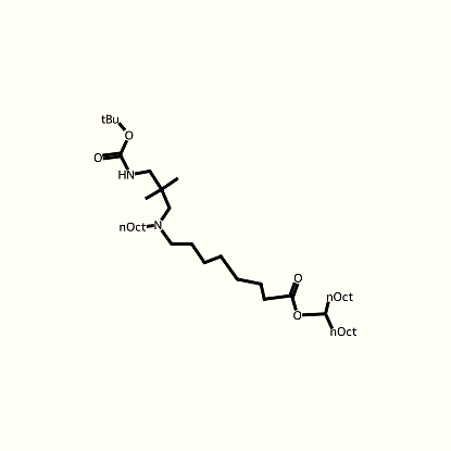 CCCCCCCCC(CCCCCCCC)OC(=O)CCCCCCCN(CCCCCCCC)CC(C)(C)CNC(=O)OC(C)(C)C